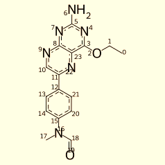 CCOc1nc(N)nc2ncc(-c3ccc(N(C)C=O)cc3)nc12